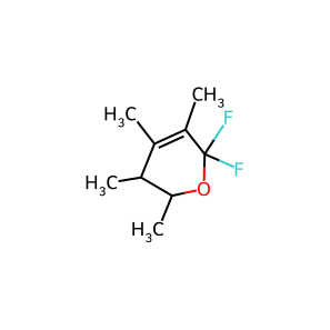 CC1=C(C)C(F)(F)OC(C)C1C